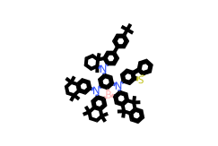 CC(C)(C)c1ccc(-c2ccc3c(c2)C2(C)CCCCC2(C)N3c2cc3c4c(c2)N(c2ccc5c(c2)sc2ccccc25)c2cc5c(cc2B4c2cc4c(cc2N3c2ccc3c(c2)C(C)(C)CCC3(C)C)C(C)(C)CCC4(C)C)C(C)(C)c2ccccc2C5(C)C)cc1